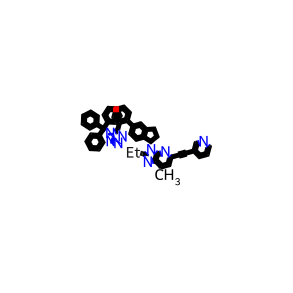 CCc1nc2c(C)cc(C#Cc3cccnc3)nc2n1[C@H]1CCc2cc(-c3ccccc3-c3nnnn3C(c3ccccc3)(c3ccccc3)c3ccccc3)ccc21